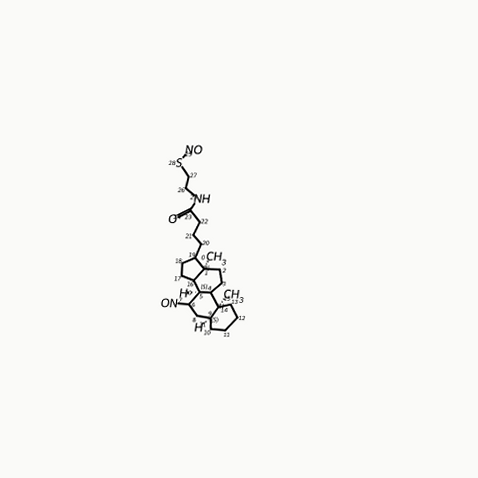 C[C@]12CCC3[C@@H](C(N=O)C[C@@H]4CCCC[C@]34C)C1CCC2CCCC(=O)NCCSN=O